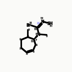 CC1CCC=CC[C@@H]1N(C)/C(Br)=N\S